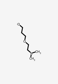 CN(C)CCOCCC[O]